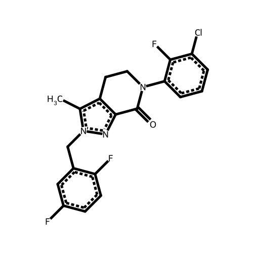 Cc1c2c(nn1Cc1cc(F)ccc1F)C(=O)N(c1cccc(Cl)c1F)CC2